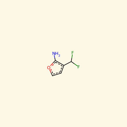 Nc1occc1C(F)F